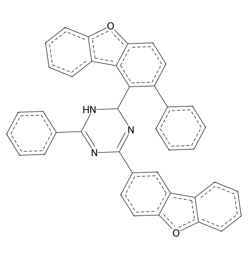 c1ccc(C2=NC(c3ccc4oc5ccccc5c4c3)=NC(c3c(-c4ccccc4)ccc4oc5ccccc5c34)N2)cc1